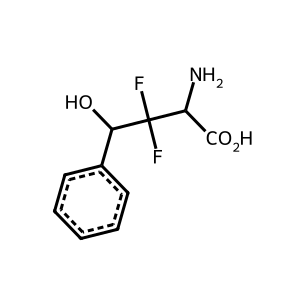 NC(C(=O)O)C(F)(F)C(O)c1ccccc1